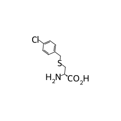 N[C@@H](CSCc1ccc(Cl)cc1)C(=O)O